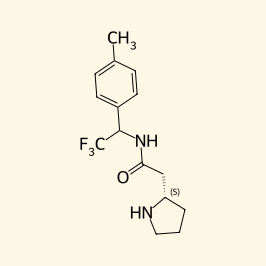 Cc1ccc(C(NC(=O)C[C@@H]2CCCN2)C(F)(F)F)cc1